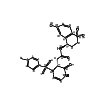 Cc1ccc(S(=O)(=O)N2C=CNC(=O)[C@H]2CC(=O)N[C@@H]2CCS(=O)(=O)c3ccc(Cl)cc32)cc1